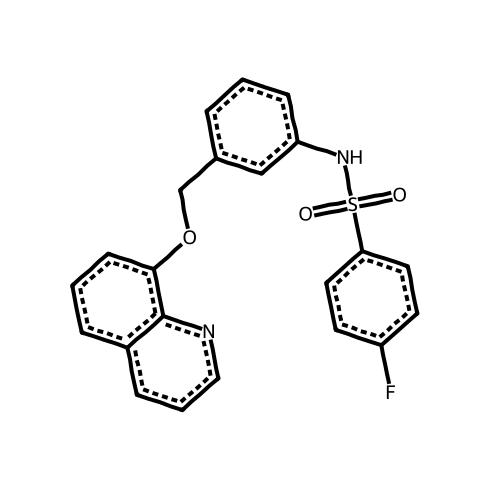 O=S(=O)(Nc1cccc(COc2cccc3cccnc23)c1)c1ccc(F)cc1